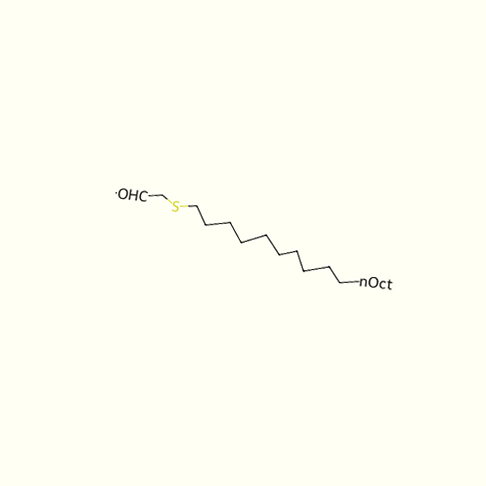 CCCCCCCCCCCCCCCCCCSC[C]=O